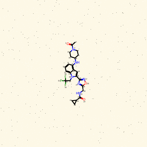 CC(=O)N1CCC(Nc2cccc3c2cc(-c2noc(CNC(=O)C4CC4)n2)n3CC(F)(F)F)CC1